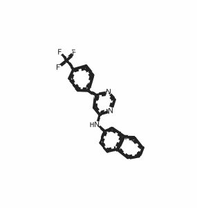 FC(F)(F)c1ccc(-c2cc(Nc3ccc4ccccc4c3)ncn2)cc1